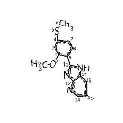 COc1cc(SC)ccc1-c1nc2ncccc2[nH]1